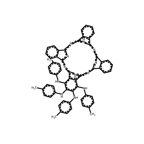 Cc1ccc(Nc2c(Nc3ccc(C)cc3)c(Nc3ccc(C)cc3)c3c4nc5nc(nc6[nH]c(nc7nc(nc([nH]4)c3c2Nc2ccc(C)cc2)-c2ccccc2-7)c2ccccc62)-c2ccccc2-5)cc1